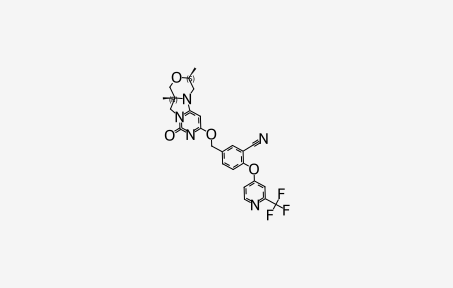 C[C@H]1CN2c3cc(OCc4ccc(Oc5ccnc(C(F)(F)F)c5)c(C#N)c4)nc(=O)n3C[C@]2(C)CO1